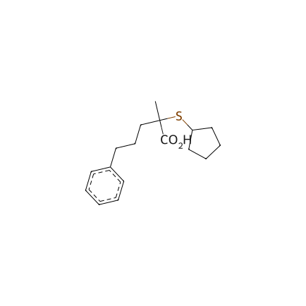 CC(CCCc1ccccc1)(SC1CCCC1)C(=O)O